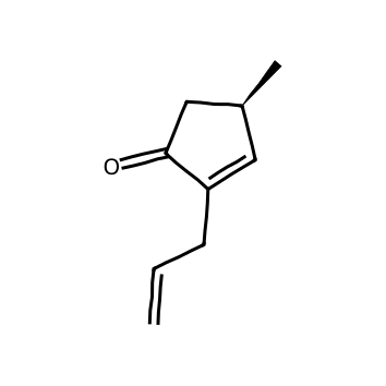 C=CCC1=C[C@H](C)CC1=O